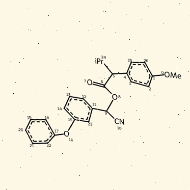 COc1ccc(C(C(=O)OC(C#N)c2cccc(Oc3ccccc3)c2)C(C)C)cc1